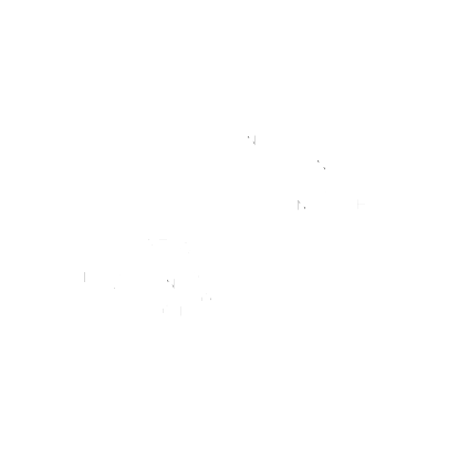 CCOC(=O)[C@H](C)N(C)S(=O)(=O)c1ccc(Cn2c(C)nc3cnccc32)cc1